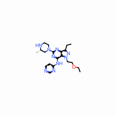 CCOCCn1nc(CC)c2nc(N3CCN[C@@H](C)C3)nc(Nc3ccncn3)c21